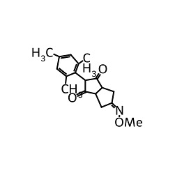 CON=C1CC2C(=O)C(c3c(C)cc(C)cc3C)C(=O)C2C1